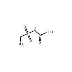 BCS(=O)(=O)NC(=O)C=O